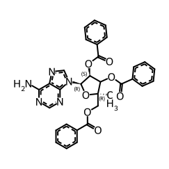 C[C@]1(COC(=O)c2ccccc2)O[C@@H](n2cnc3c(N)ncnc32)[C@@H](OC(=O)c2ccccc2)C1OC(=O)c1ccccc1